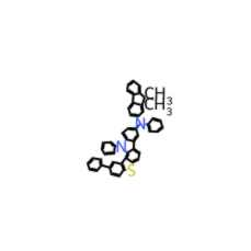 CC1(C)c2ccccc2-c2ccc(N(c3ccccc3)c3ccc4c(c3)c3ccc5sc6ccc(-c7ccccc7)cc6c5c3n4-c3ccccc3)cc21